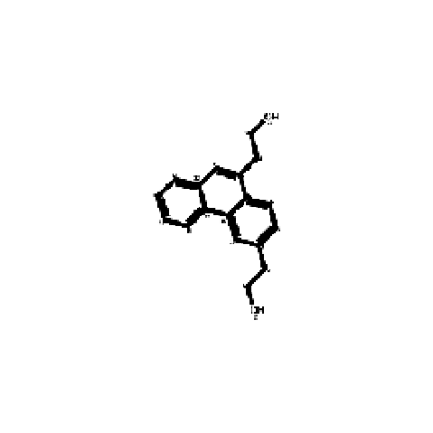 OCCc1ccc2c(CCO)cc3ccccc3c2c1